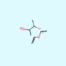 C=COC=C.CC(O)C(C)O